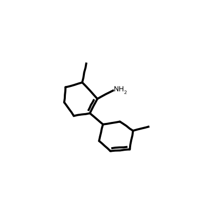 CC1C=CCC(C2=C(N)C(C)CCC2)C1